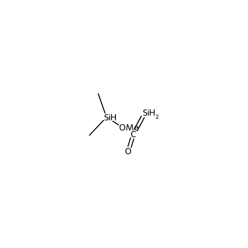 CO[SiH](C)C.O=C=[SiH2]